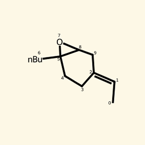 CC=C1CCC2(CCCC)OC2C1